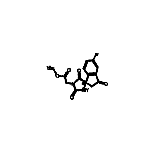 CC(C)(C)OC(=O)CN1C(=O)N[C@]2(CC(=O)c3cc(Br)ccc32)C1=O